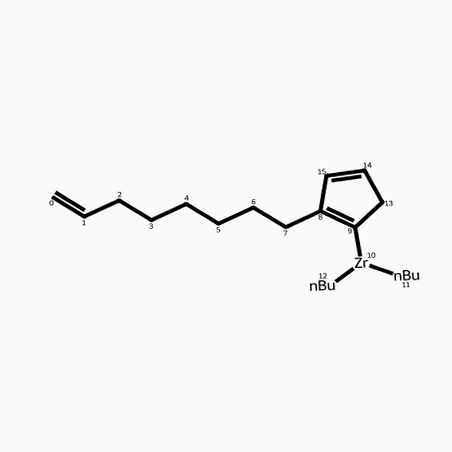 C=CCCCCCCC1=[C]([Zr]([CH2]CCC)[CH2]CCC)CC=C1